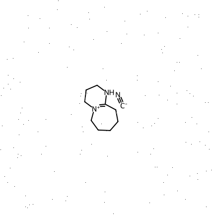 C1CCC2=[N+](CC1)CCCN2.[C-]#N